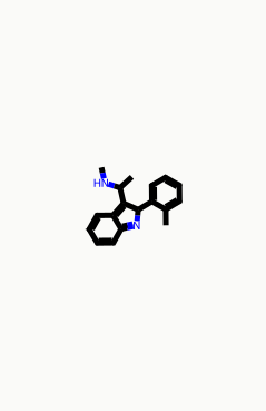 CNC(C)C1=c2c[c]ccc2=NC1c1ccccc1C